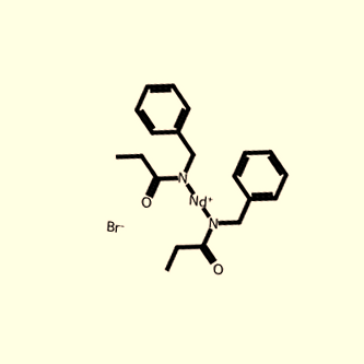 CCC(=O)[N](Cc1ccccc1)[Nd+][N](Cc1ccccc1)C(=O)CC.[Br-]